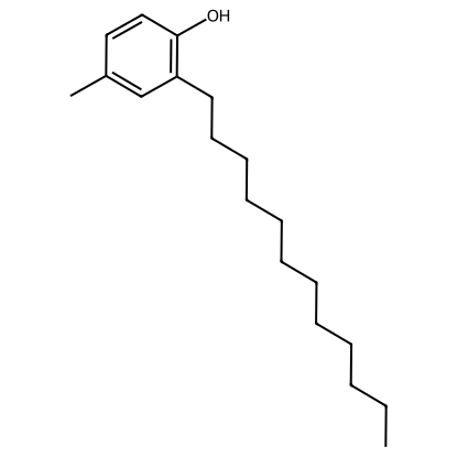 CCCCCCCCCCCCc1cc(C)ccc1O